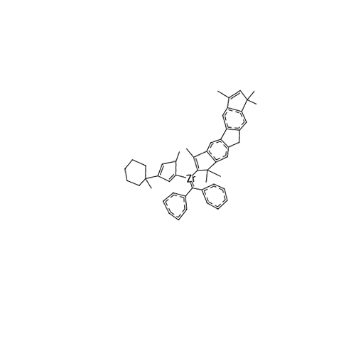 CC1=CC(C)(C)c2cc3c(cc21)-c1cc2c(cc1C3)C(C)(C)[C]([Zr]([C]1=CC(C3(C)CCCCC3)=CC1C)=[C](c1ccccc1)c1ccccc1)=C2C